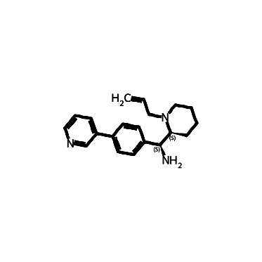 C=CCN1CCCC[C@H]1[C@@H](N)c1ccc(-c2cccnc2)cc1